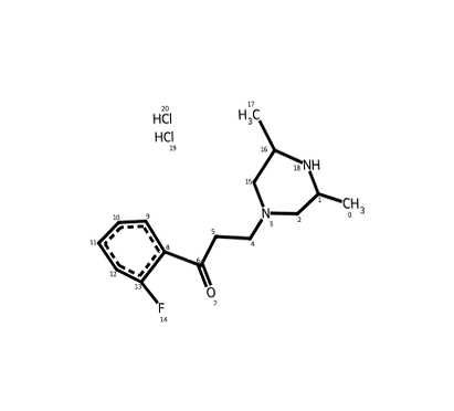 CC1CN(CCC(=O)c2ccccc2F)CC(C)N1.Cl.Cl